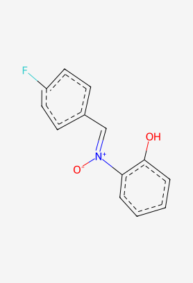 [O-][N+](=Cc1ccc(F)cc1)c1ccccc1O